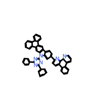 c1ccc(-c2nc(-c3ccccc3)nc(-n3c4cc(-c5ccc6c7ccccc7c7cccnc7c6n5)ccc4c4cc5c6ccccc6c6ccccc6c5cc43)n2)cc1